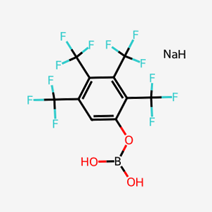 OB(O)Oc1cc(C(F)(F)F)c(C(F)(F)F)c(C(F)(F)F)c1C(F)(F)F.[NaH]